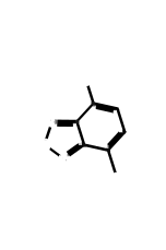 CCc1ccc(C)c2nonc12